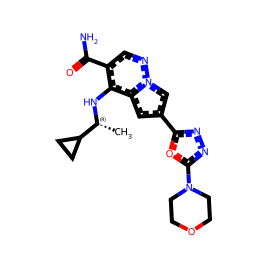 C[C@@H](Nc1c(C(N)=O)cnn2cc(-c3nnc(N4CCOCC4)o3)cc12)C1CC1